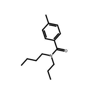 CCCCN(CCC)C(=O)c1ccc(C)cc1